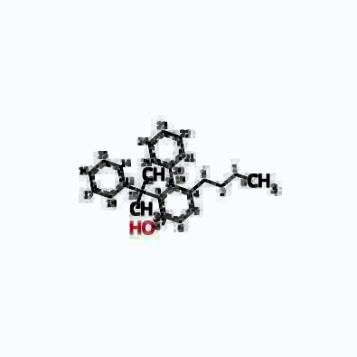 CCCCc1ccc(O)c(C(C)(C)c2ccccc2)c1-c1ccccc1